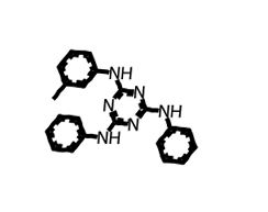 Cc1cccc(Nc2nc(Nc3ccccc3)nc(Nc3ccccc3)n2)c1